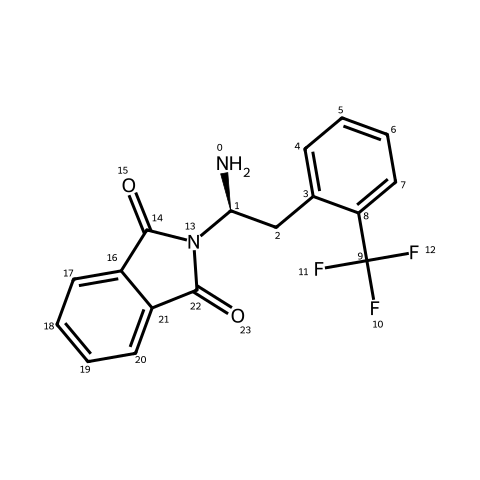 N[C@@H](Cc1ccccc1C(F)(F)F)N1C(=O)c2ccccc2C1=O